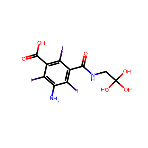 Nc1c(I)c(C(=O)O)c(I)c(C(=O)NCC(O)(O)O)c1I